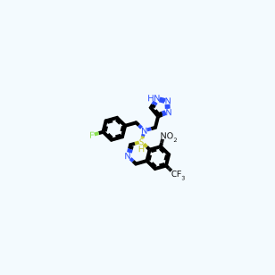 O=[N+]([O-])c1cc(C(F)(F)F)cc2c1[SH](N(Cc1ccc(F)cc1)Cc1c[nH]nn1)C=NC2